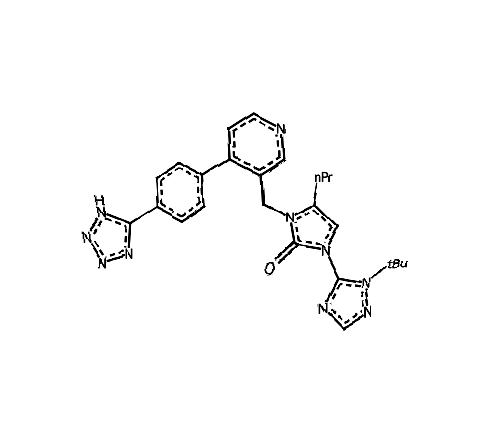 CCCc1cn(-c2ncnn2C(C)(C)C)c(=O)n1Cc1cnccc1-c1ccc(-c2nnn[nH]2)cc1